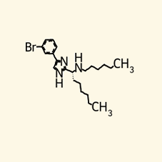 CCCCCCN[C@H](CCCCCC)c1nc(-c2cccc(Br)c2)c[nH]1